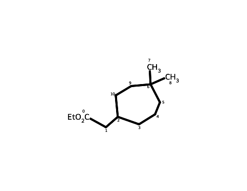 CCOC(=O)CC1CCCC(C)(C)CC1